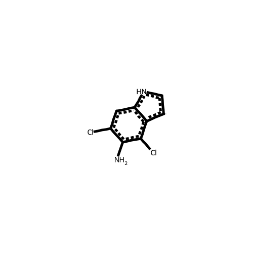 Nc1c(Cl)cc2[nH]c[c]c2c1Cl